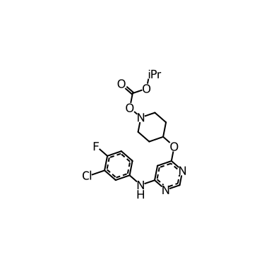 CC(C)OC(=O)ON1CCC(Oc2cc(Nc3ccc(F)c(Cl)c3)ncn2)CC1